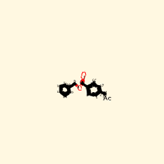 CC(=O)Cc1ccc(C(=O)OCc2ccccc2)cc1